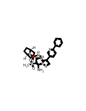 CCNC(=O)N1[C@@H]2CC[C@H]1C[C@H](c1nc3c(-c4ccc(-c5ccccc5)nc4)cnn3c(N)c1S(C)(=O)=O)C2